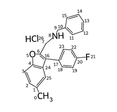 Cc1ccc2oc(CNCc3ccccc3)c(-c3ccc(F)cc3)c2c1.Cl